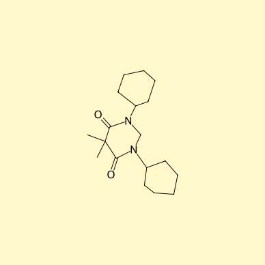 CC1(C)C(=O)N(C2CCCCC2)CN(C2CCCCC2)C1=O